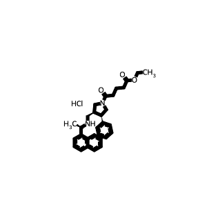 CCOC(=O)CCCC(=O)N1C[C@H](CN[C@H](C)c2cccc3ccccc23)[C@@H](c2ccccc2)C1.Cl